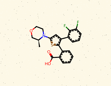 C[C@H]1COCCN1c1cc(-c2cccc(F)c2F)c(-c2ccccc2C(=O)O)s1